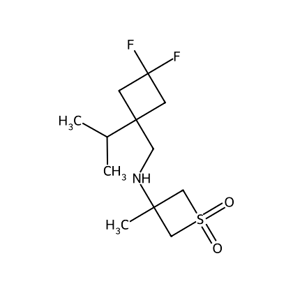 CC(C)C1(CNC2(C)CS(=O)(=O)C2)CC(F)(F)C1